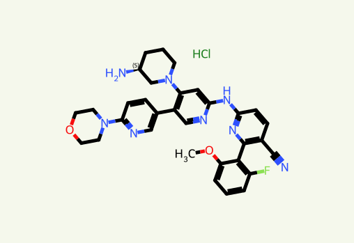 COc1cccc(F)c1-c1nc(Nc2cc(N3CCC[C@H](N)C3)c(-c3ccc(N4CCOCC4)nc3)cn2)ccc1C#N.Cl